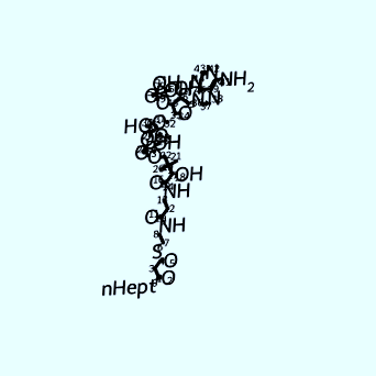 CCCCCCCC(=O)CC(=O)SCCNC(=O)CCNC(=O)[C@H](O)C(C)(C)COP(=O)(O)OP(=O)(O)OC[C@H]1O[C@@H](n2cnc3c(N)ncnc32)[C@H](O)[C@@H]1OP(=O)(O)O